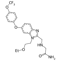 CCOCCn1c(CNCC(N)=O)nc2ccc(Oc3ccc(OC(F)(F)F)cc3)cc21